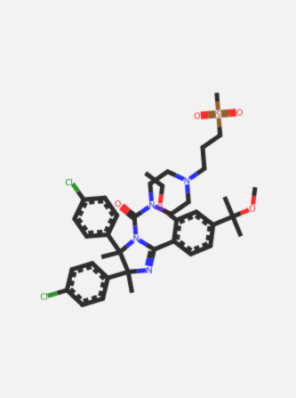 CCOc1cc(C(C)(C)OC)ccc1C1=NC(C)(c2ccc(Cl)cc2)C(C)(c2ccc(Cl)cc2)N1C(=O)N1CCN(CCCS(C)(=O)=O)CC1